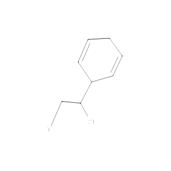 BrCC(Br)C1C=CCC=C1